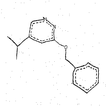 CC(C)c1cnnc(OCc2[c]cccc2)c1